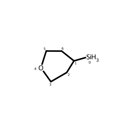 [SiH3]C1CCOCC1